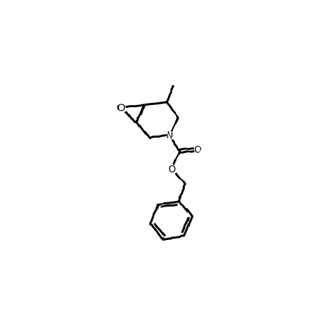 CC1CN(C(=O)OCc2ccccc2)CC2OC12